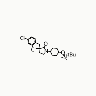 CC1(Cc2ccc(Cl)cc2Cl)CCN(C2CCC(O[Si](C)(C)C(C)(C)C)CC2)C1=O